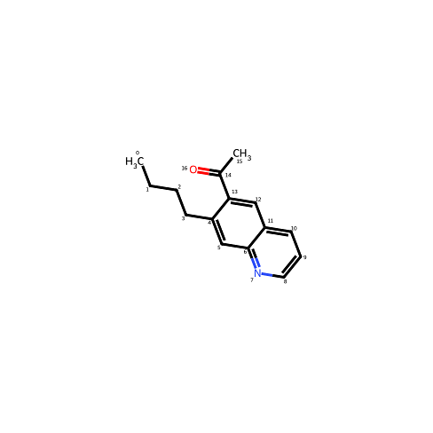 CCCCc1cc2ncccc2cc1C(C)=O